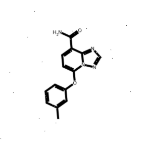 Cc1cccc(Oc2ccc(C(N)=O)c3n[c]nn23)c1